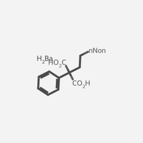 CCCCCCCCCCCC(C(=O)O)(C(=O)O)c1ccccc1.[BaH2]